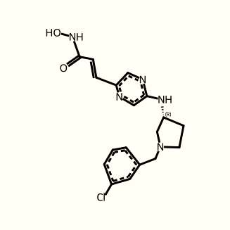 O=C(C=Cc1cnc(N[C@@H]2CCN(Cc3cccc(Cl)c3)C2)cn1)NO